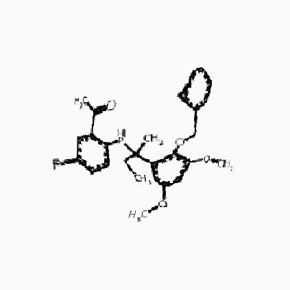 CCC(C)(Pc1ccc(F)cc1C(C)=O)c1cc(OC)cc(OC)c1OCc1ccccc1